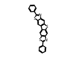 c1ccc(-c2nc3cc4sc5cc6nc(-c7ccccc7)sc6cc5c4cc3s2)cc1